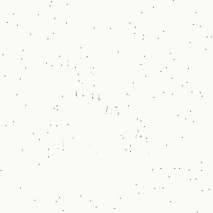 CC(=O)N1CCC(NC(=O)C(N)Cc2c(C)cc(C)cc2C)c2cc(Oc3cccc(Cl)c3)ccc21